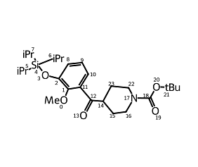 COc1c(O[Si](C(C)C)(C(C)C)C(C)C)cccc1C(=O)C1CCN(C(=O)OC(C)(C)C)CC1